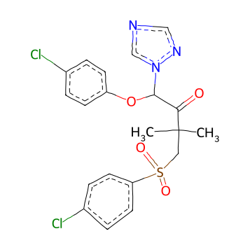 CC(C)(CS(=O)(=O)c1ccc(Cl)cc1)C(=O)C(Oc1ccc(Cl)cc1)n1cncn1